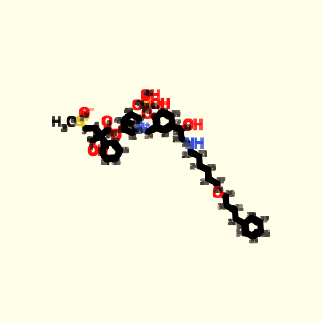 C[S+]([O-])CCC(CO)(C(=O)OC1C[N+]2(Cc3cc(C(O)CNCCCCCCOCCCCc4ccccc4)ccc3OP(=O)(O)O)CCC1CC2)c1ccccc1